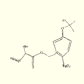 CCCCCCCC(CCCC)C(=O)OCc1cc(OC(C)(C)CC)ccc1[N+](=O)[O-]